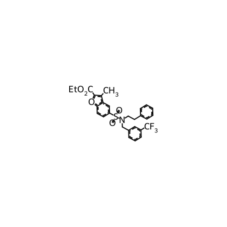 CCOC(=O)c1oc2ccc(S(=O)(=O)N(CCc3ccccc3)Cc3cccc(C(F)(F)F)c3)cc2c1C